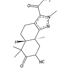 [C-]#[N+]C1C[C@]2(C)c3nn(C)c(C(N)=O)c3CC[C@H]2C(C)(C)C1=O